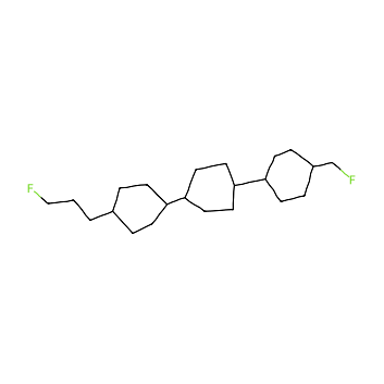 FCCCC1CCC(C2CCC(C3CCC(CF)CC3)CC2)CC1